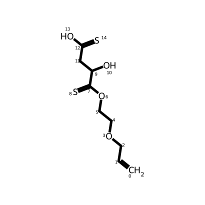 C=CCOCCOC(=S)C(O)CC(O)=S